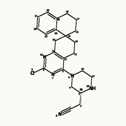 N#CC[C@@H]1CN(c2nc(Cl)nc3c2CCC2(CCCc4ccccc42)C3)CCN1